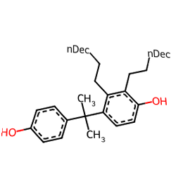 CCCCCCCCCCCCc1c(O)ccc(C(C)(C)c2ccc(O)cc2)c1CCCCCCCCCCCC